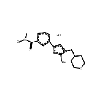 CCN(C)C(=O)c1cccc(-c2cn(CC3CCOCC3)c(C(C)(C)C)n2)c1.Cl